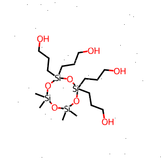 C[Si]1(C)O[Si](C)(C)O[Si](CCCO)(CCCO)O[Si](CCCO)(CCCO)O1